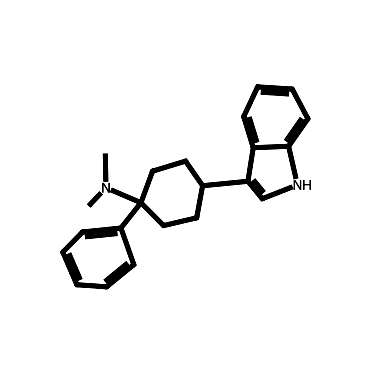 CN(C)C1(c2ccccc2)CCC(c2c[nH]c3ccccc23)CC1